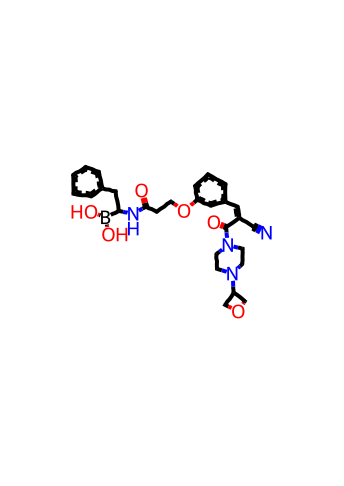 N#CC(=Cc1cccc(OCCC(=O)NC(Cc2ccccc2)B(O)O)c1)C(=O)N1CCN(C2COC2)CC1